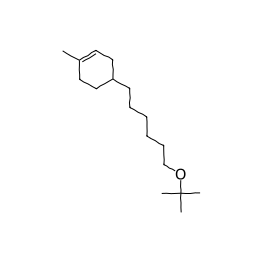 CC1=CCC(CCCCCCOC(C)(C)C)CC1